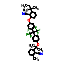 CCC(C)(C)c1cccc(Oc2ccc(C(c3ccc(OC(C)(C)c4cccc(C)c4C#N)cc3)(C(F)(F)F)C(F)(F)F)cc2)c1C#N